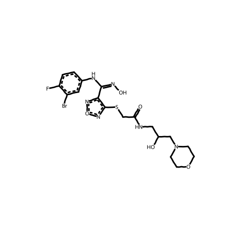 O=C(CSc1nonc1/C(=N\O)Nc1ccc(F)c(Br)c1)NCC(O)CN1CCOCC1